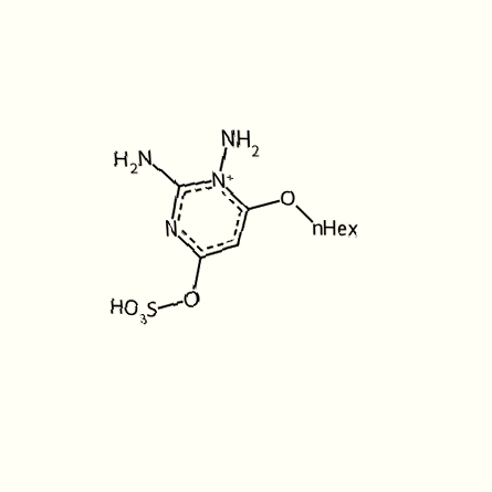 CCCCCCOc1cc(OS(=O)(=O)O)nc(N)[n+]1N